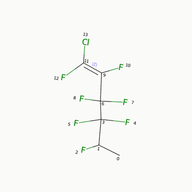 CC(F)C(F)(F)C(F)(F)/C(F)=C(\F)Cl